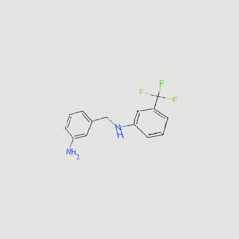 Nc1[c]ccc(CNc2cccc(C(F)(F)F)c2)c1